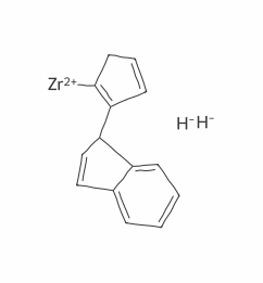 [H-].[H-].[Zr+2][C]1=C(C2C=Cc3ccccc32)C=CC1